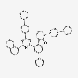 c1ccc(-c2ccc(-c3nc(-c4cccc5ccccc45)nc(-c4cc(-c5ccccc5)cc5oc6c(-c7ccc(-c8ccccc8)cc7)cccc6c45)n3)cc2)cc1